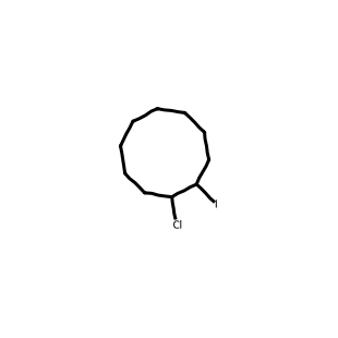 ClC1CCCCCCCCC1I